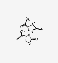 O=C1N[C@H](C(=O)O)CS1.O=C1N[C@H](C(=O)O)CS1